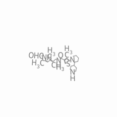 C/C(=C/C(C)=C(\C)CNC(=O)c1csc(N2CCCCC2C2CCNCC2)c1C)NC=O